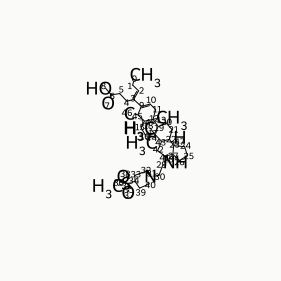 CC/C=C(\CCC(=O)O)C1=CCC2(C)C(CCC3(C)C2CCC2[C@H]4CCCC4(NCCN4CCC(S(C)(=O)=O)CC4)CC[C@]23C)C1C